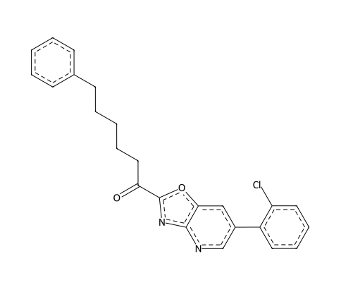 O=C(CCCCCc1ccccc1)c1nc2ncc(-c3ccccc3Cl)cc2o1